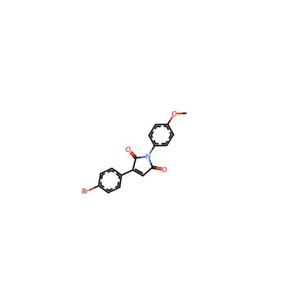 COc1ccc(N2C(=O)C=C(c3ccc(Br)cc3)C2=O)cc1